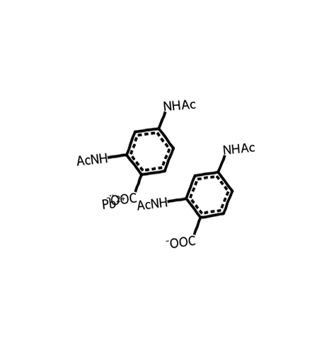 CC(=O)Nc1ccc(C(=O)[O-])c(NC(C)=O)c1.CC(=O)Nc1ccc(C(=O)[O-])c(NC(C)=O)c1.[Pb+2]